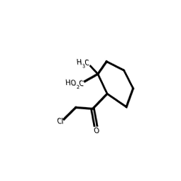 CC1(C(=O)O)CCCCC1C(=O)CCl